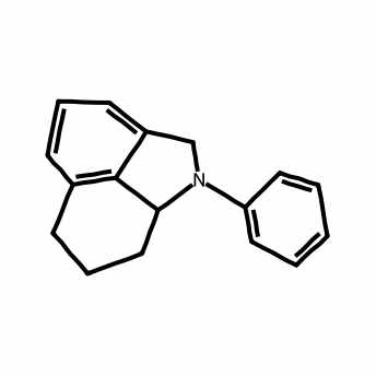 c1ccc(N2Cc3cccc4c3C2CCC4)cc1